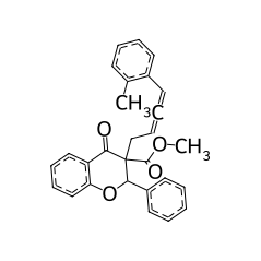 COC(=O)C1(CC=C=Cc2ccccc2C)C(=O)c2ccccc2OC1c1ccccc1